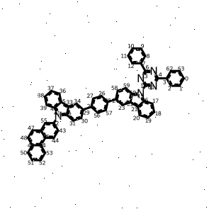 c1ccc(-c2nc(-c3ccccc3)nc(-n3c4ccccc4c4cc(-c5ccc(-c6ccc7c(c6)c6ccccc6n7-c6ccc7c(ccc8ccccc87)c6)cc5)ccc43)n2)cc1